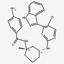 C[C@]1(NC(=O)c2ccc(N)cc2)CCC[C@@H](Nc2ncc(Cl)c(-c3n[nH]c4ccccc34)n2)C1